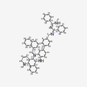 CN/C(=N\C(=N/Cc1ccc(-c2ccc(Nc3c(/N=C/c4cccc5ccccc45)c4c(c5ccccc35)N(C)CC=C4)cc2)cc1)c1ccccc1)c1ccccc1